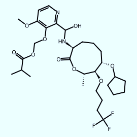 COc1ccnc(C(O)N[C@H]2CCC[C@H](OC3CCCC3)[C@@H](OCCCC(F)(F)F)[C@H](C)OC2=O)c1OCOC(=O)C(C)C